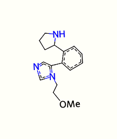 COCCn1cncc1-c1ccccc1C1CCCN1